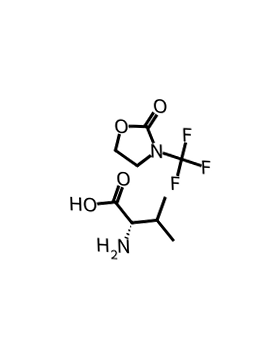 CC(C)[C@H](N)C(=O)O.O=C1OCCN1C(F)(F)F